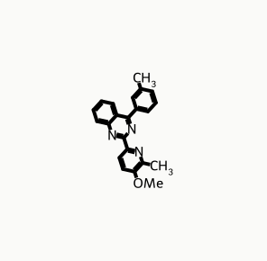 COc1ccc(-c2nc(-c3cccc(C)c3)c3ccccc3n2)nc1C